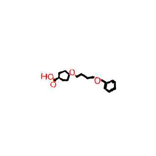 O=C(O)C1CCC(OCCCCOCc2ccccc2)CC1